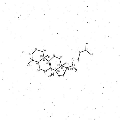 CC(C)CCC[C@@H](C)[C@H]1CC[C@H]2C3=C(CC[C@]12C)[C@@]1(C)CCCC(C)C1CC3